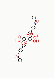 O=C(/C=C/c1ccc(-c2ccc(Oc3c(-c4ccc(C(=O)O)c(C(=O)O)c4Oc4ccc(-c5ccc(/C=C/C(=O)c6ccccc6)cc5)cc4)ccc(C(=O)O)c3C(=O)O)cc2)cc1)c1ccccc1